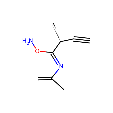 C#C[C@@H](C)/C(=N/C(=C)C)ON